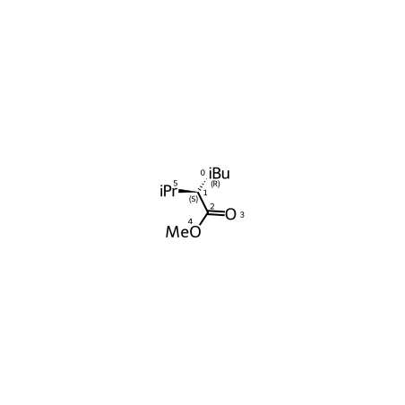 CC[C@@H](C)[C@@H](C(=O)OC)C(C)C